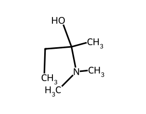 CCC(C)(O)N(C)C